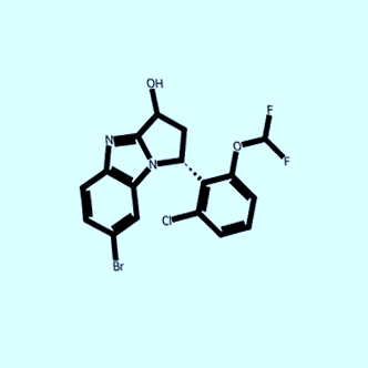 OC1C[C@H](c2c(Cl)cccc2OC(F)F)n2c1nc1ccc(Br)cc12